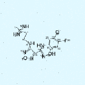 CS(=N)(=N)CCNc1nonc1/C(=N/O)Nc1ccc(F)c(Cl)c1